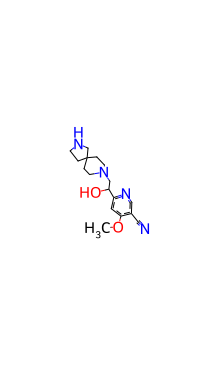 COc1cc(C(O)CN2CCC3(CCNC3)CC2)ncc1C#N